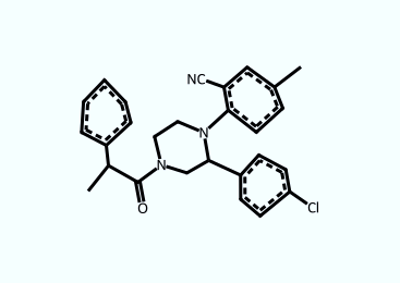 Cc1ccc(N2CCN(C(=O)C(C)c3ccccc3)CC2c2ccc(Cl)cc2)c(C#N)c1